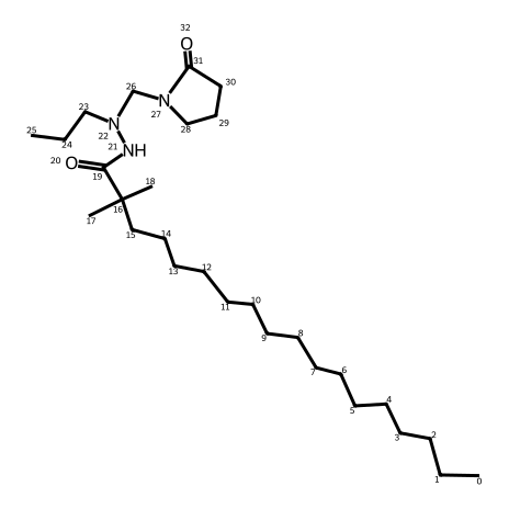 CCCCCCCCCCCCCCCCC(C)(C)C(=O)NN(CCC)CN1CCCC1=O